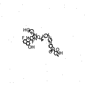 C=C1CC[C@@H](N2Cc3cc(N4CCN(CC5(C)CCN(CC6(COc7nc(N8CCC[C@@](C)(O)C8)c8cnc(-c9cc(O)cc%10ccc(F)c(CC)c9%10)c(F)c8n7)CC6)CC5)CC4)ccc3C2=O)C(=O)N1